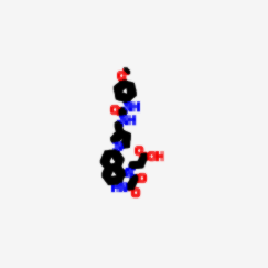 COc1ccc(NC(=O)NCc2ccn(-c3ccc4ccc5[nH]c(=O)c(=O)n(CCC(=O)O)c5c4c3)c2)cc1